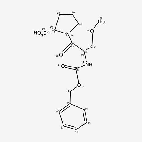 CC(C)(C)OC[C@H](NC(=O)OCc1ccccc1)C(=O)N1CCC[C@H]1C(=O)O